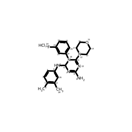 Cc1ccc(NC2N=C(N)N=C(N3CCOCC3)N2c2cccc(F)c2)cc1C.Cl